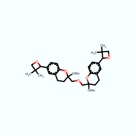 COC1(COCC2(OC)CCc3cc(C4OCC4(C)C)ccc3O2)CCc2cc(C3OCC3(C)C)ccc2O1